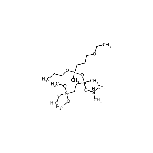 CCCO[Si](C)(CCCOCC)O[Si](C)(CC[Si](OC)(OC)OC)O[SiH](C)C